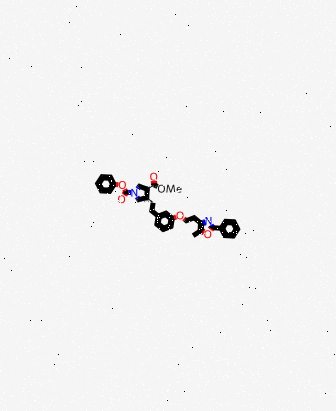 COC(=O)[C@H]1CN(C(=O)Oc2ccccc2)C[C@H]1CCc1cccc(OCCc2nc(-c3ccccc3)oc2C)c1